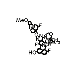 C#Cc1c(F)ccc2cc(O)cc(-c3nc(OC)c4c(N5CCOC[C@@](C)(O)C5)nc(OC[C@]56CCC[C@H]5N(C5CC(OC)C5)C[C@@H](F)C6)nc4c3F)c12